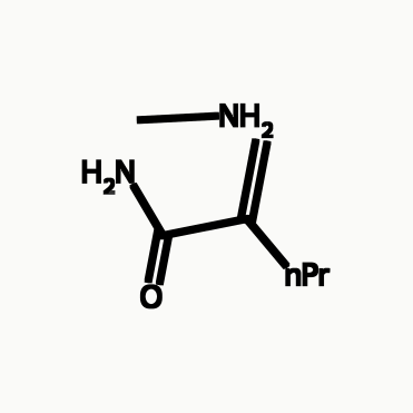 C=C(CCC)C(N)=O.CN